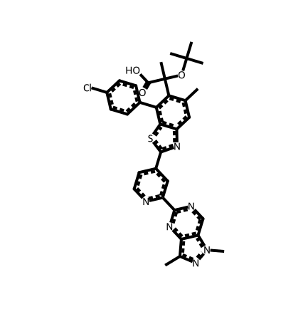 Cc1cc2nc(-c3ccnc(-c4ncc5c(n4)c(C)nn5C)c3)sc2c(-c2ccc(Cl)cc2)c1C(C)(OC(C)(C)C)C(=O)O